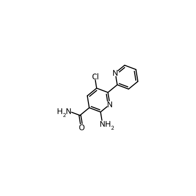 NC(=O)c1cc(Cl)c(-c2ccccn2)nc1N